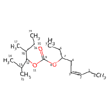 CC/C=C\CC(CC)OC(=O)OC(C(C)C)C(C)CC